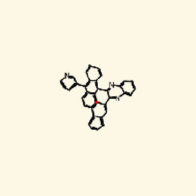 c1cncc(-c2c3ccccc3c(-c3nc4ccccc4nc3-c3ccc4ccccc4c3)c3ccccc23)c1